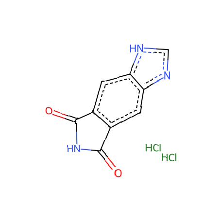 Cl.Cl.O=C1NC(=O)c2cc3[nH]cnc3cc21